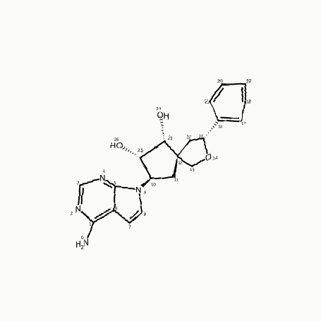 Nc1ncnc2c1ccn2[C@@H]1C[C@@]2(CO[C@@H](c3ccccc3)C2)[C@@H](O)[C@H]1O